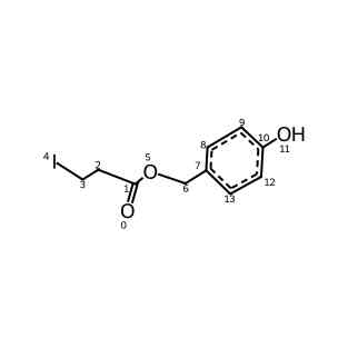 O=C(CCI)OCc1ccc(O)cc1